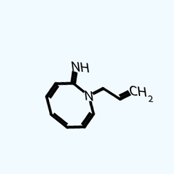 C=CCN1\C=C/C=C\C=C/C1=N